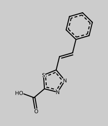 O=C(O)c1nnc(C=Cc2ccccc2)s1